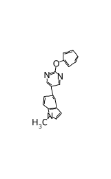 Cn1ccc2cc(-c3cnc(Oc4ccccc4)nc3)ccc21